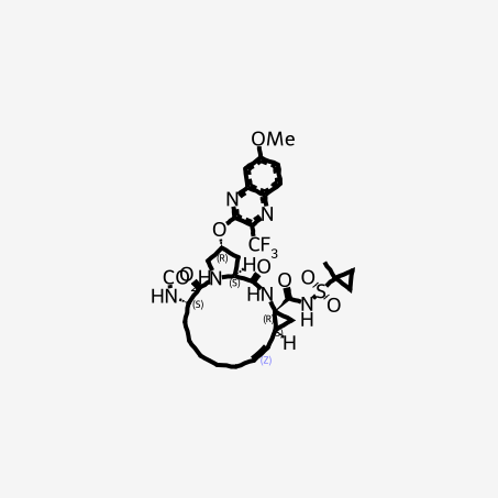 COc1ccc2nc(C(F)(F)F)c(O[C@@H]3C[C@H]4C(=O)N[C@]5(C(=O)NS(=O)(=O)C6(C)CC6)C[C@H]5/C=C\CCCCC[C@H](NC(=O)O)C(=O)N4C3)nc2c1